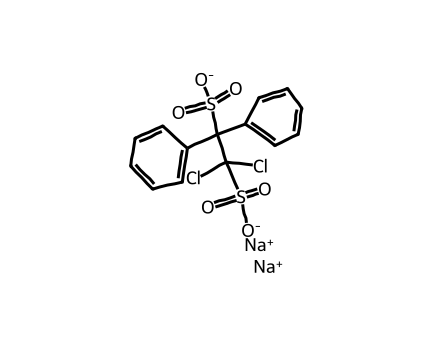 O=S(=O)([O-])C(Cl)(Cl)C(c1ccccc1)(c1ccccc1)S(=O)(=O)[O-].[Na+].[Na+]